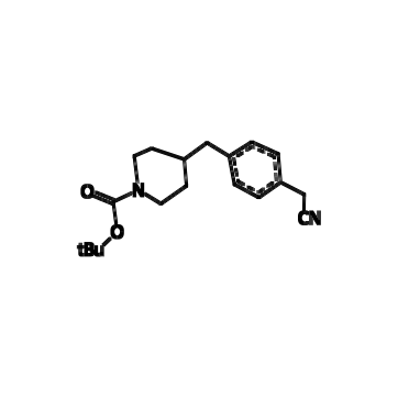 CC(C)(C)OC(=O)N1CCC(Cc2ccc(CC#N)cc2)CC1